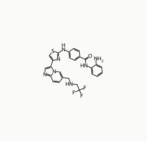 Nc1ccccc1NC(=O)c1ccc(Nc2nc(-c3cnc4ccc(CNCC(F)(F)F)cn34)cs2)cc1